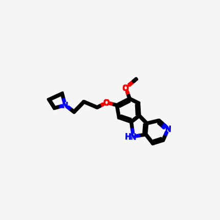 COc1cc2c(cc1OCCCN1CCC1)[nH]c1ccncc12